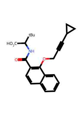 CC(C)(C)C(NC(=O)c1ccc2ccccc2c1OCC#CC1CC1)C(=O)O